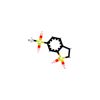 CS(=O)(=O)c1ccc2c(c1)S(=O)(=O)CC2